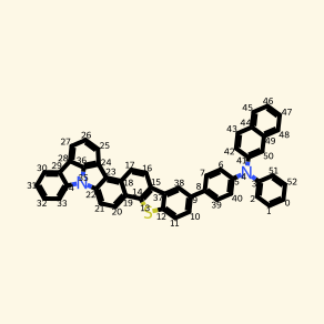 c1ccc(N(c2ccc(-c3ccc4sc5c(ccc6c5ccc5c6c6cccc7c8ccccc8n5c76)c4c3)cc2)c2ccc3ccccc3c2)cc1